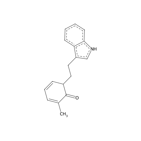 CC1=CC=CC(CCc2c[nH]c3ccccc23)C1=O